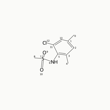 Cc1cc(C)c(NS(C)(=O)=O)c(Cl)c1